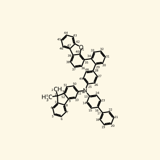 CC1(C)c2ccccc2-c2cc(N(c3ccc(-c4ccccc4)cc3)c3ccc(-c4ccccc4-c4cccc5c4oc4ccccc45)cc3)ccc21